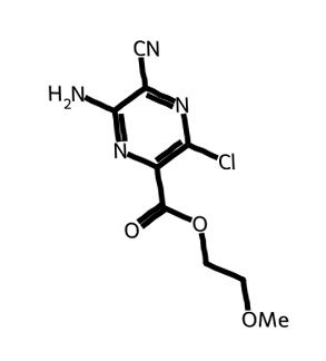 COCCOC(=O)c1nc(N)c(C#N)nc1Cl